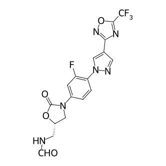 O=CNC[C@H]1CN(c2ccc(-n3cc(-c4noc(C(F)(F)F)n4)cn3)c(F)c2)C(=O)O1